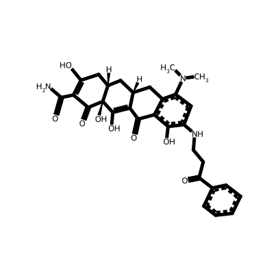 CN(C)c1cc(NCCC(=O)c2ccccc2)c(O)c2c1C[C@H]1C[C@H]3CC(O)=C(C(N)=O)C(=O)[C@@]3(O)C(O)=C1C2=O